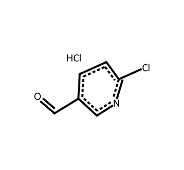 Cl.O=Cc1ccc(Cl)nc1